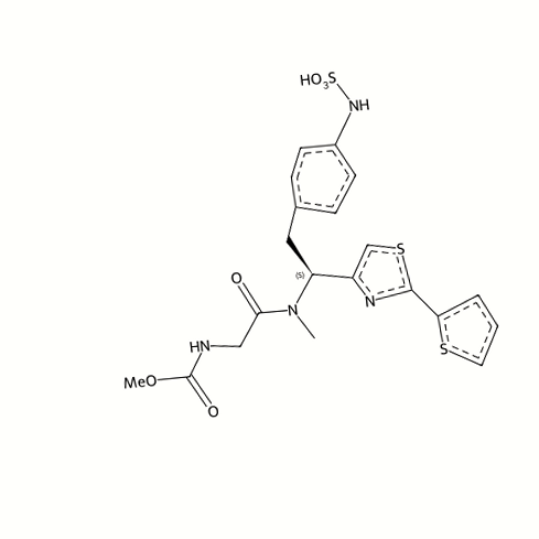 COC(=O)NCC(=O)N(C)[C@@H](Cc1ccc(NS(=O)(=O)O)cc1)c1csc(-c2cccs2)n1